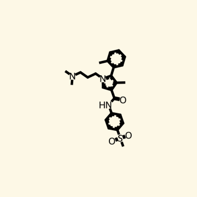 Cc1ccccc1-c1c(C)c(C(=O)Nc2ccc(S(C)(=O)=O)cc2)cn1CCCN(C)C